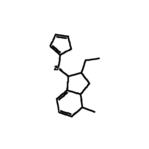 CCC1CC2C(=CC=CC2C)[CH]1[Zr][C]1=CC=CC1